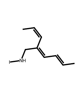 CC=C/C=C(\C=C/C)CNI